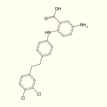 Nc1ccc(Nc2ccc(CCc3ccc(Cl)c(Cl)c3)cc2)c(C(=O)O)c1